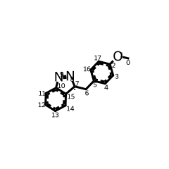 COc1ccc(C[C]2N=Nc3ccccc32)cc1